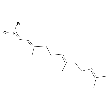 CC(C)=CCC/C(C)=C/CC/C(C)=C/C=[N+](/[O-])C(C)C